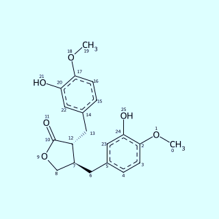 COc1ccc(C[C@H]2COC(=O)[C@@H]2Cc2ccc(OC)c(O)c2)cc1O